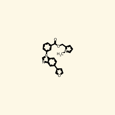 Cn1cccc1COC(=O)c1cccc(-n2cnc3cc(-c4ccoc4)ccc32)c1